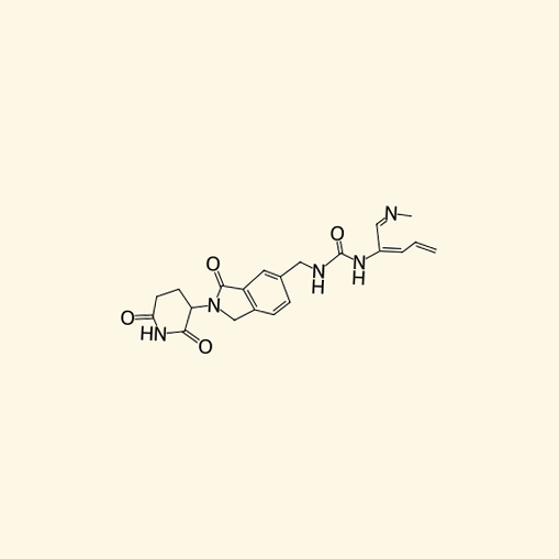 C=C/C=C(\C=N/C)NC(=O)NCc1ccc2c(c1)C(=O)N(C1CCC(=O)NC1=O)C2